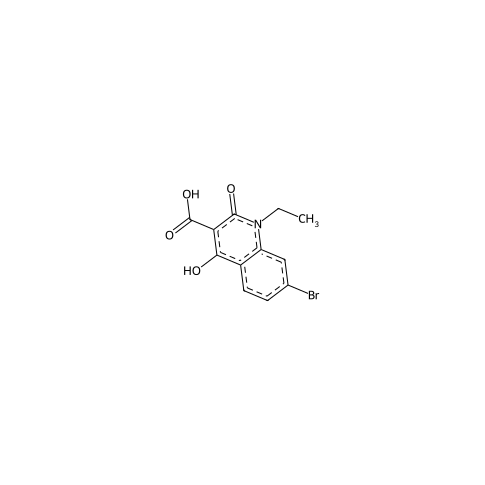 CCn1c(=O)c(C(=O)O)c(O)c2ccc(Br)cc21